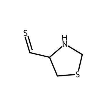 S=CC1CSCN1